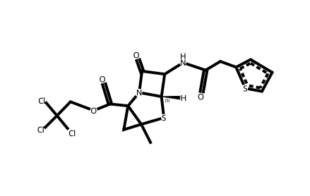 CC12CC1(C(=O)OCC(Cl)(Cl)Cl)N1C(=O)C(NC(=O)Cc3cccs3)[C@@H]1S2